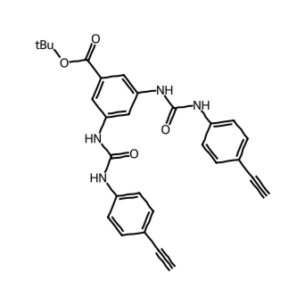 C#Cc1ccc(NC(=O)Nc2cc(NC(=O)Nc3ccc(C#C)cc3)cc(C(=O)OC(C)(C)C)c2)cc1